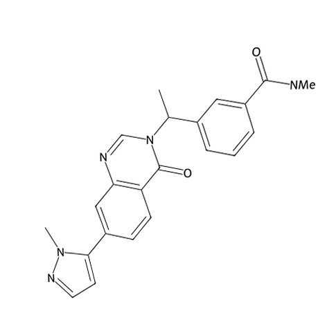 CNC(=O)c1cccc(C(C)n2cnc3cc(-c4ccnn4C)ccc3c2=O)c1